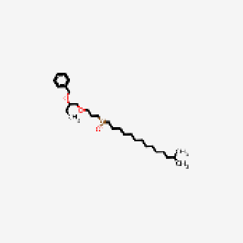 CCC(COCCC[S+]([O-])CCCCCCCCCCCCC(C)C)OCc1ccccc1